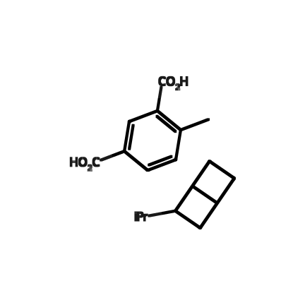 CC(C)C1CC2CCC21.Cc1ccc(C(=O)O)cc1C(=O)O